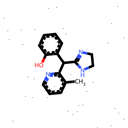 Cc1cccnc1C(C1=NCCN1)c1ccccc1O